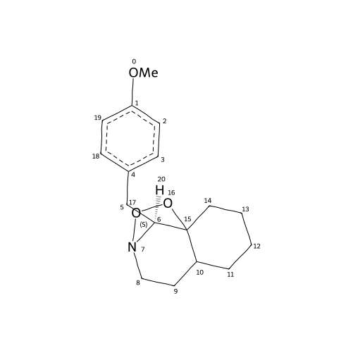 COc1ccc(C[C@@H]2N3CCC4CCCCC42OO3)cc1